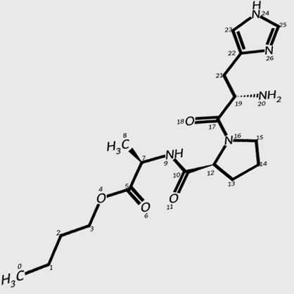 CCCCOC(=O)[C@@H](C)NC(=O)[C@@H]1CCCN1C(=O)[C@@H](N)Cc1c[nH]cn1